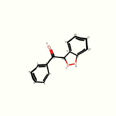 O=C(c1ccccc1)C1OOc2ccccc21